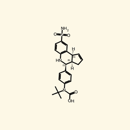 CC(C)(C)N(C(=O)O)c1ccc([C@H]2Nc3ccc(S(N)(=O)=O)cc3[C@H]3C=CC[C@H]32)cc1